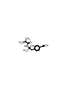 C#Cc1ccc(CC(C)(C)NC(=O)[C@H](C)N)cc1